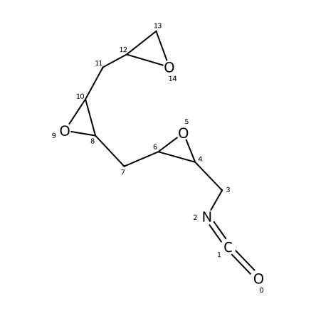 O=C=NCC1OC1CC1OC1CC1CO1